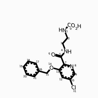 O=C(O)NCCNC(=O)c1ncc(Cl)cc1OCc1ccccc1